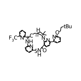 CC(C)(C)CCOc1cccc(-c2ccc3c(n2)N2C[C@@H](CC[C@H](c4cccc(C(F)(F)F)n4)Nc4cccc(n4)SNC3=O)CC2(C)C)n1